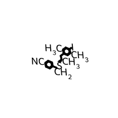 C=C(S/C=C(\C)Cc1cc(C)c(I)cc1C)c1ccc(C#N)cc1